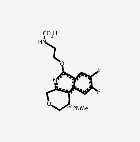 CN[C@@H]1COCc2nc(OCCNC(=O)O)c3cc(F)c(F)cc3c21